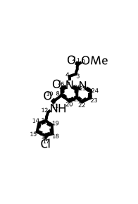 COC(=O)CCn1c(=O)c(C(=O)NCc2ccc(Cl)cc2)cc2cccnc21